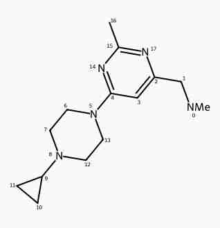 CNCc1cc(N2CCN(C3CC3)CC2)nc(C)n1